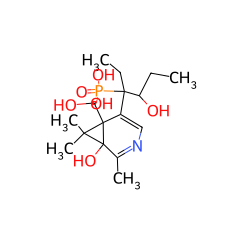 CCC(O)C(CC)(C1=CN=C(C)C2(O)C(C)(C)C12CO)P(=O)(O)O